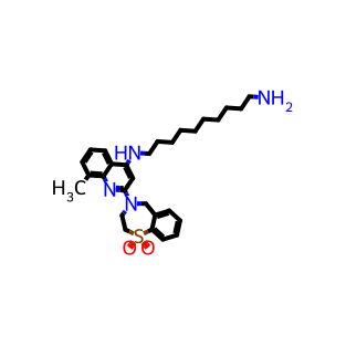 Cc1cccc2c(NCCCCCCCCCCN)cc(N3CCS(=O)(=O)c4ccccc4C3)nc12